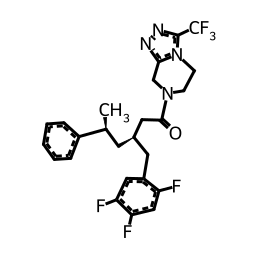 C[C@@H](C[C@@H](CC(=O)N1CCn2c(nnc2C(F)(F)F)C1)Cc1cc(F)c(F)cc1F)c1ccccc1